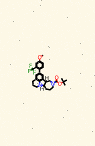 COc1ccc(-c2cc3c4c(c2)[C@@H]2CN(C(=O)OC(C)(C)C)CCC[C@@H]2N4CCC3)c(C(F)(F)F)c1